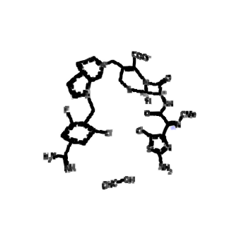 CO/N=C(\C(=O)N[C@@H]1C(=O)N2C(C(=O)[O-])=C(C[n+]3ccc4ccn(Cc5c(F)cc(C(=N)N)cc5Cl)c4c3)CS[C@H]12)c1nc(N)sc1Cl.O=CO